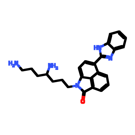 NCCCC(N)CCCN1C(=O)c2cccc3c(-c4nc5ccccc5[nH]4)ccc1c23